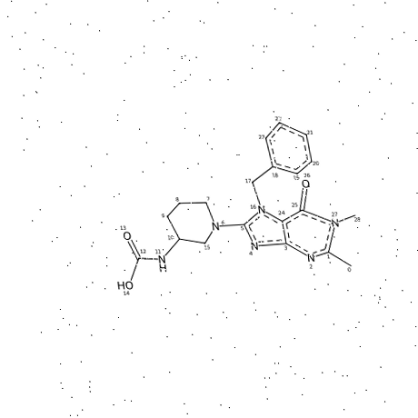 Cc1nc2nc(N3CCCC(NC(=O)O)C3)n(Cc3ccccc3)c2c(=O)n1C